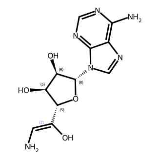 N/C=C(\O)[C@H]1O[C@@H](n2cnc3c(N)ncnc32)[C@H](O)[C@@H]1O